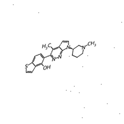 Cc1c(-c2ccc3sccc3c2O)nnc2c1ccn2[C@@H]1CCCN(C)C1